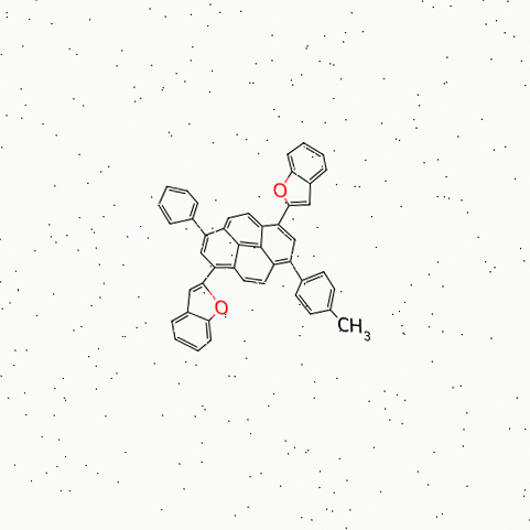 Cc1ccc(-c2cc(-c3cc4ccccc4o3)c3ccc4c(-c5ccccc5)cc(-c5cc6ccccc6o5)c5ccc2c3c45)cc1